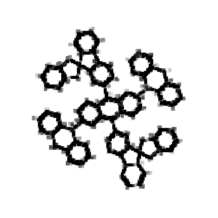 C1=CC2c3ccc(-c4c5ccc(N6c7ccccc7Sc7ccccc76)cc5c(-c5ccc6c(c5)C5(Cc7ccccc7C5)c5ccccc5-6)c5ccc(N6c7ccccc7Sc7ccccc76)cc45)cc3C3(Cc4ccccc4C3)C2C=C1